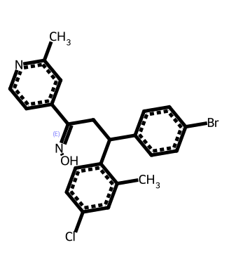 Cc1cc(/C(CC(c2ccc(Br)cc2)c2ccc(Cl)cc2C)=N/O)ccn1